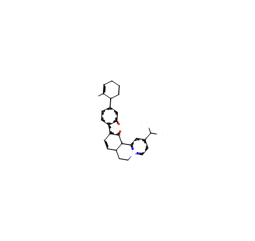 CC1=CCCCC1c1ccc2c3c(oc2c1)C1c2cc(C(C)C)cc[n+]2CCC1C=C3